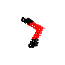 [Co+2].[Co+2].[Fe+3].[Fe+3].[O-2].[O-2].[O-2].[O-2].[O-2].[O-2].[O-2].[O-2].[O-2].[Ti+4].[Ti+4]